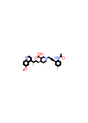 COc1ccc2nccc(C(F)CC[C@@H]3CCN(CC#Cc4cc(F)ccc4NC(C)=O)C[C@@H]3C(=O)O)c2c1